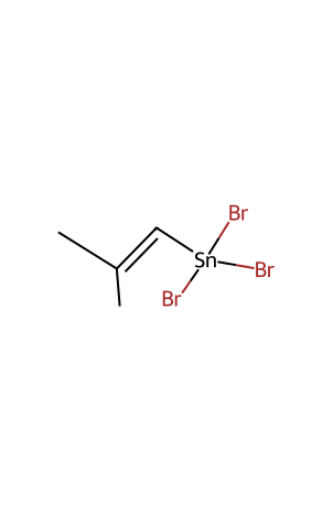 CC(C)=[CH][Sn]([Br])([Br])[Br]